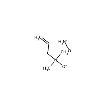 C=CC[N+](C)(C)[O-].[NH3+][O-]